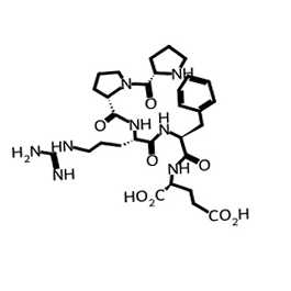 N=C(N)NCCC[C@H](NC(=O)[C@@H]1CCCN1C(=O)[C@@H]1CCCN1)C(=O)N[C@@H](Cc1ccccc1)C(=O)N[C@@H](CCC(=O)O)C(=O)O